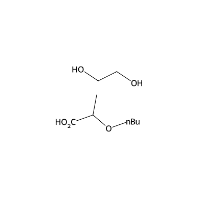 CCCCOC(C)C(=O)O.OCCO